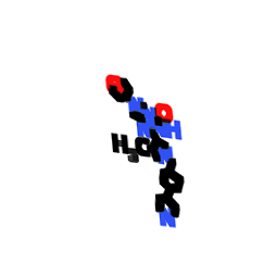 CC1CN(Cc2ccc(-c3ccncc3)cc2)CC1C1=NC2=CN(C3CCOCC3)CN2C(=O)N1